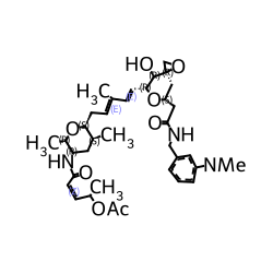 CNc1cccc(CNC(=O)C[C@@H]2C[C@@]3(CO3)[C@H](O)[C@@H](/C=C/C(C)=C/C[C@@H]3O[C@H](C)[C@H](NC(=O)/C=C\C(C)OC(C)=O)C[C@@H]3C)O2)c1